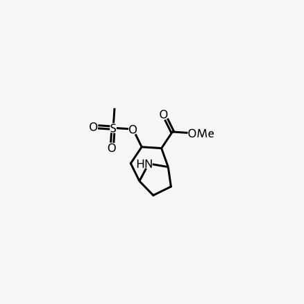 COC(=O)C1C2CCC(CC1OS(C)(=O)=O)N2